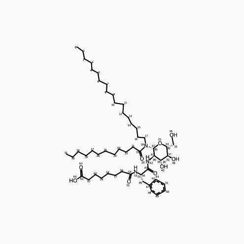 CCCCCCCCCCCCCCCCCCN(C(=O)CCCCCCCCCCC)[C@@H]1O[C@H](CO)[C@@H](O)[C@H](O)[C@H]1NC(=O)[C@H](Cc1ccccc1)NC(=O)CCCCCCC(=O)O